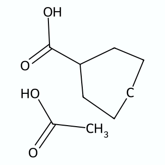 CC(=O)O.O=C(O)C1CCCCC1